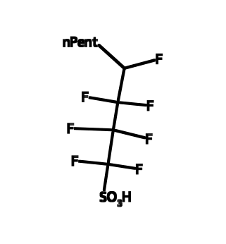 CCCCCC(F)C(F)(F)C(F)(F)C(F)(F)S(=O)(=O)O